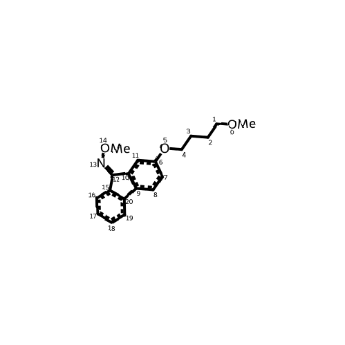 COCCCCOc1ccc2c(c1)/C(=N\OC)c1ccccc1-2